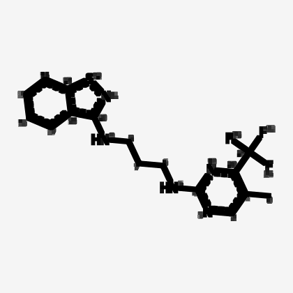 Cc1cnc(NCCCNc2nsc3ccccc23)nc1C(F)(F)F